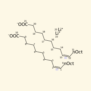 CCCCCCCC/C=C\CCCCCCCC(=O)[O-].CCCCCCCC/C=C\CCCCCCCC(=O)[O-].[Li+].[Li+]